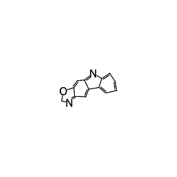 c1ccc2c(c1)N=c1cc3c(cc1-2)=NCO3